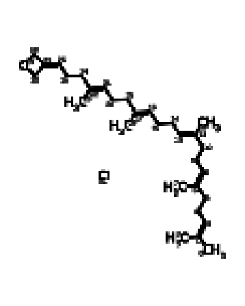 CC(C)=CCC/C(C)=C/CC/C(C)=C/CC/C=C(\C)CC/C=C(\C)CCC=C1COC1.[C]